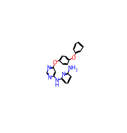 Nc1cccc(Nc2cc(Oc3ccc(Oc4ccccc4)cc3)ncn2)n1